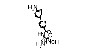 NC[C@H](NC(=O)c1ccc(-c2cnc(N)nc2)cc1)C(=O)NO